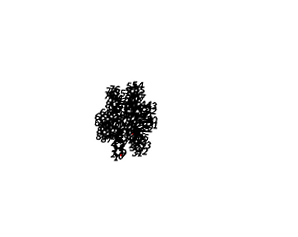 c1ccc2cc3c(cc2c1)oc1c(-c2cc(-c4cc5ccccc5c5c4oc4cc6ccccc6cc45)c(-c4cc5ccccc5c5c4oc4cc6ccccc6cc45)cc2-c2cc4ccccc4c4c2oc2cc5ccccc5cc24)cc2ccccc2c13